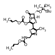 C=CCOC(=O)NCc1nc(C)c(C2=C(OC(=O)OCC=C)N3C(=O)[C@H](CO[Si](C)(C)C(C)(C)C)[C@H]3S2)s1